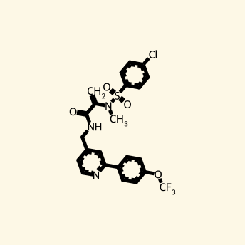 C=C(C(=O)NCc1ccnc(-c2ccc(OC(F)(F)F)cc2)c1)N(C)S(=O)(=O)c1ccc(Cl)cc1